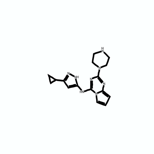 c1cc2nc(N3CCNCC3)nc(Nc3cc(C4CC4)n[nH]3)n2c1